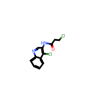 O=C(CCCl)Nc1cnc2ccccc2c1Cl